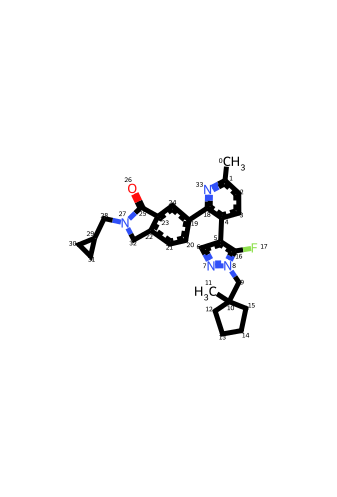 Cc1ccc(-c2cnn(CC3(C)CCCC3)c2F)c(-c2ccc3c(c2)C(=O)N(CC2CC2)C3)n1